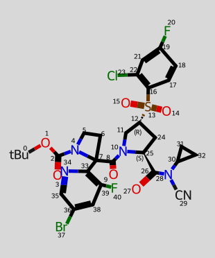 CC(C)(C)OC(=O)N1CCC1(C(=O)N1C[C@H](S(=O)(=O)c2ccc(F)cc2Cl)C[C@H]1C(=O)N(C#N)C1CC1)c1ncc(Br)cc1F